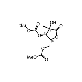 COC(=O)OC[C@H]1OC(=O)[C@@](C)(O)[C@@H]1OC(=O)OC(C)(C)C